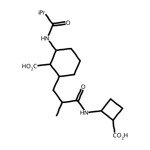 CC(C)C(=O)NC1CCCC(CC(C)C(=O)NC2CCC2C(=O)O)C1C(=O)O